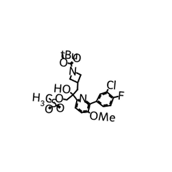 COc1ccc(C(O)(COS(C)(=O)=O)CC2CN(C(=O)OC(C)(C)C)C2)nc1-c1ccc(F)c(Cl)c1